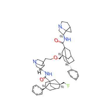 O=C(N[C@H]1CN2CCC1C(CCOC[C@]13CC4CC(C(=O)N[C@H]5CN6CCC7CC756)(C1)C[C@@](c1ccccc1)(C4)C3)C2)C12CC3C[C@@](CF)(C1)C[C@](c1ccccc1)(C3)C2